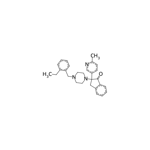 CCc1ccccc1CN1CCN(C2(c3ccc(C)nc3)Cc3ccccc3C2=O)CC1